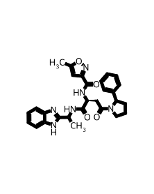 Cc1cc(C(=O)N[C@@H](CC(=O)N2CCCC2c2ccccc2)C(=O)NC(C)c2nc3ccccc3[nH]2)no1